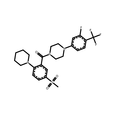 CS(=O)(=O)c1ccc(N2CCCCC2)c(C(=O)N2CCN(c3ccc(C(F)(F)F)c(F)c3)CC2)c1